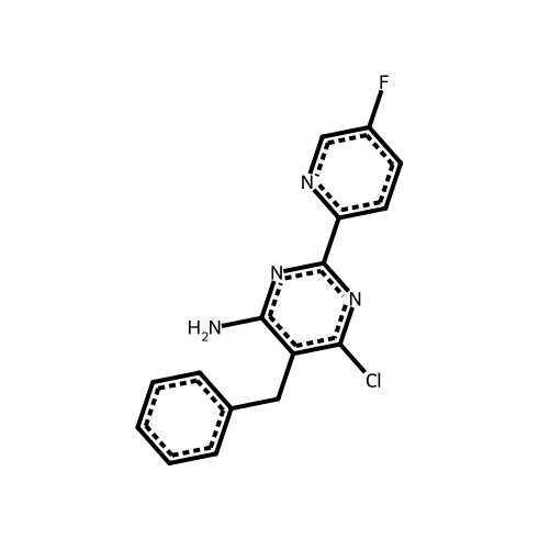 Nc1nc(-c2ccc(F)cn2)nc(Cl)c1Cc1ccccc1